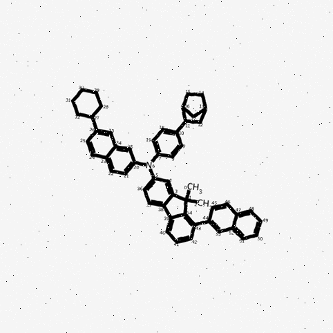 CC1(C)c2cc(N(c3ccc(C4CC5CCC4C5)cc3)c3ccc4ccc(C5CCCCC5)cc4c3)ccc2-c2cccc(-c3ccc4ccccc4c3)c21